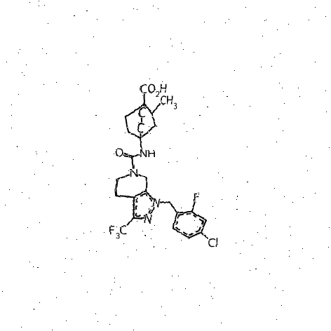 CC1CC2(NC(=O)N3CCc4c(C(F)(F)F)nn(Cc5ccc(Cl)cc5F)c4C3)CCC1(C(=O)O)CC2